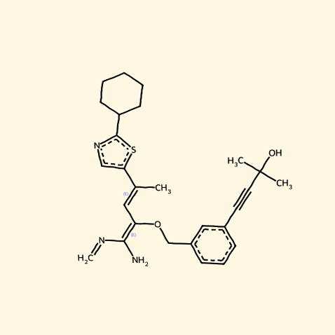 C=N/C(N)=C(\C=C(/C)c1cnc(C2CCCCC2)s1)OCc1cccc(C#CC(C)(C)O)c1